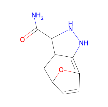 NC(=O)C1NNC2=C3C=CC(CC21)O3